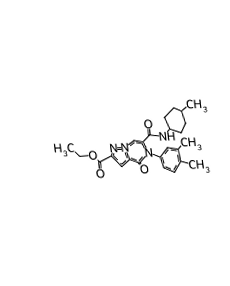 CCOC(=O)c1cc2c(=O)n(-c3ccc(C)c(C)c3)c(C(=O)NC3CCC(C)CC3)cn2n1